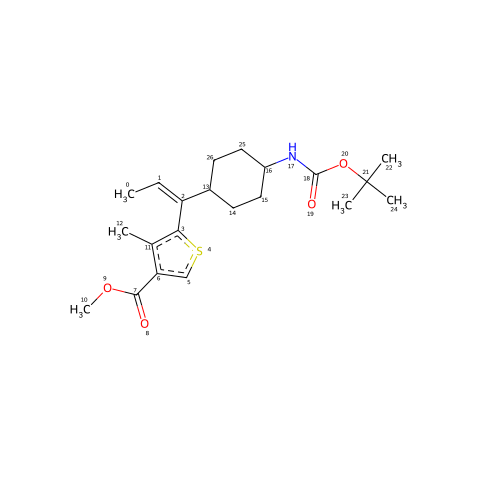 CC=C(c1scc(C(=O)OC)c1C)C1CCC(NC(=O)OC(C)(C)C)CC1